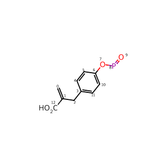 C=C(Cc1ccc(OP=O)cc1)C(=O)O